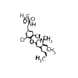 C\C=C/C=C1/C=C(Oc2c(Cl)cc(CNS(C)(=O)=O)cc2Cl)CN(C)/C1=C/C